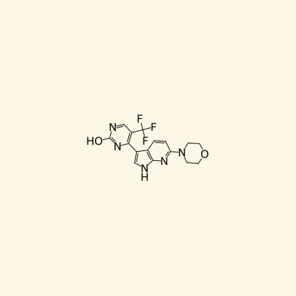 Oc1ncc(C(F)(F)F)c(-c2c[nH]c3nc(N4CCOCC4)ccc23)n1